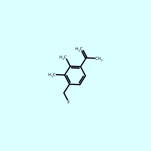 C=C(C)c1ccc(CF)c(C)c1C